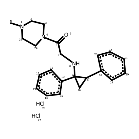 CN1CCN(C(=O)CNC2(c3ccccc3)CC2c2ccccc2)CC1.Cl.Cl